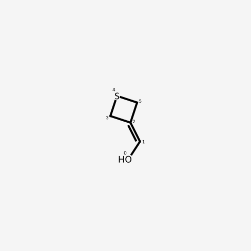 OC=C1CSC1